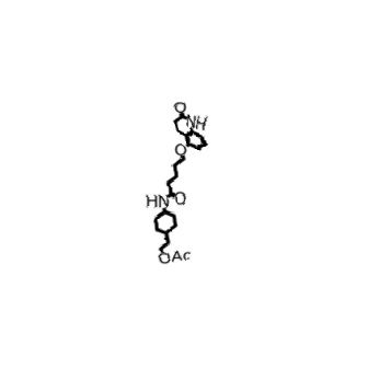 CC(=O)OCCC1CCC(NC(=O)CCCCOc2cccc3c2CCC(=O)N3)CC1